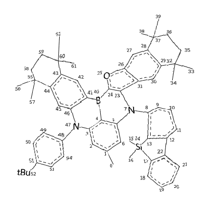 Cc1cc2c3c(c1)N(c1cccc4c1[Si](C)(C)c1ccccc1-4)c1c(oc4cc5c(cc14)C(C)(C)CCC5(C)C)B3c1cc3c(cc1N2c1ccc(C(C)(C)C)cc1)C(C)(C)CCC3(C)C